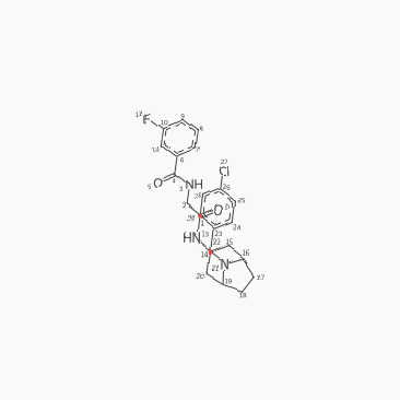 O=C(CNC(=O)c1cccc(F)c1)NC1CC2CCC(C1)N2Cc1ccc(Cl)cc1